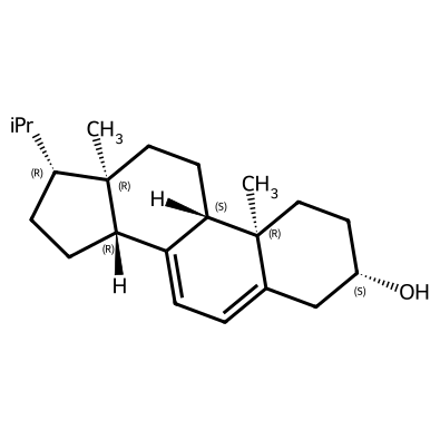 CC(C)[C@H]1CC[C@H]2C3=CC=C4C[C@@H](O)CC[C@]4(C)[C@H]3CC[C@]12C